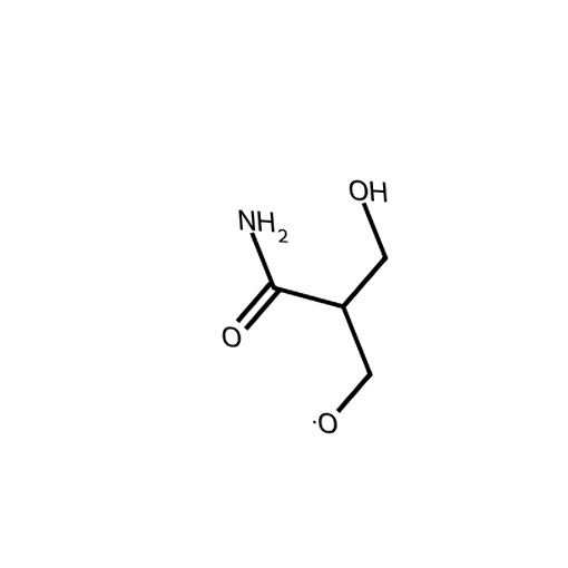 NC(=O)C(C[O])CO